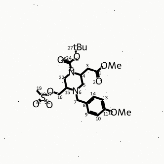 COC(=O)CC1CN(Cc2ccc(OC)cc2)C(COS(C)(=O)=O)CN1C(=O)OC(C)(C)C